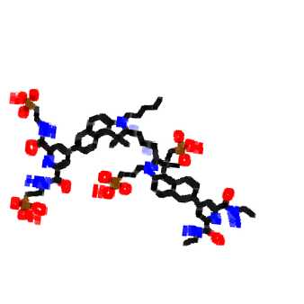 CCCCCN1/C(=C/C=C/C2=[N+](CCCS(=O)(=O)O)c3ccc4cc(-c5cc(C(=O)NCC)nc(C(=O)NCC)c5)ccc4c3C2(C)CS(=O)(=O)O)C(C)(C)c2c1ccc1cc(-c3cc(C(=O)NCCS(=O)(=O)O)nc(C(=O)NCCS(=O)(=O)O)c3)ccc21